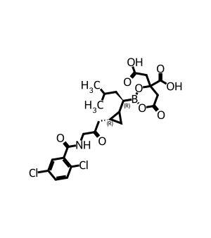 CC(C)C[C@@H](B1OC(=O)CC(CC(=O)O)(C(=O)O)O1)C1C[C@@H]1CC(=O)CNC(=O)c1cc(Cl)ccc1Cl